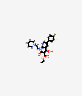 CCOC(=O)c1c(O)c2cc(-c3ccc(F)cc3)cnc2n(CCN2CCCCC2)c1=O